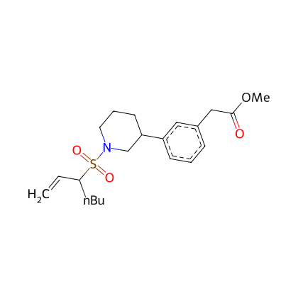 C=CC(CCCC)S(=O)(=O)N1CCCC(c2cccc(CC(=O)OC)c2)C1